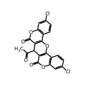 CC(=O)C1c2c(c3ccc(Cl)cc3oc2=O)Oc2c1c(=O)oc1cc(Cl)ccc21